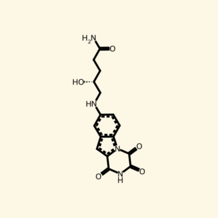 NC(=O)CC[C@@H](O)CNc1ccc2c(c1)cc1n2C(=O)C(=O)NC1=O